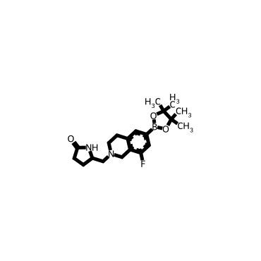 CC1(C)OB(c2cc(F)c3c(c2)CCN(CC2CCC(=O)N2)C3)OC1(C)C